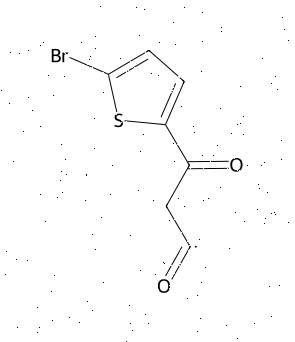 O=[C]CC(=O)c1ccc(Br)s1